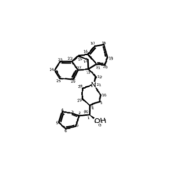 O[C@@H](c1ccccc1)C1CCN(CC23CC(c4ccccc42)c2ccccc23)CC1